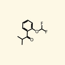 CC(C)C(=O)c1ccccc1OC(F)F